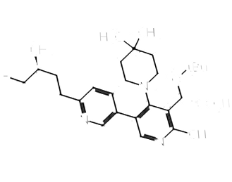 Cc1ncc(-c2ccc(CC[C@H](C)CF)nc2)c(N2CCC(C)(C)CC2)c1[C@H](OC(C)(C)C)C(=O)O